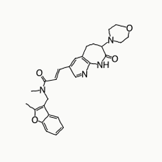 Cc1oc2ccccc2c1CN(C)C(=O)/C=C/c1cnc2c(c1)CCC(N1CCOCC1)C(=O)N2